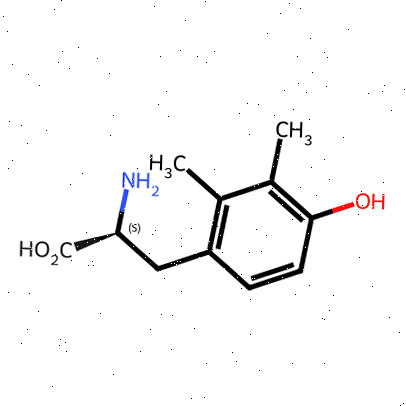 Cc1c(O)ccc(C[C@H](N)C(=O)O)c1C